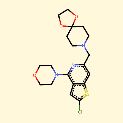 Clc1cc2c(N3CCOCC3)nc(CN3CCC4(CC3)OCCO4)cc2s1